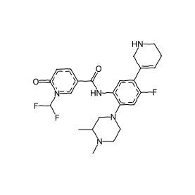 CC1CN(c2cc(F)c(C3=CCCNC3)cc2NC(=O)c2ccc(=O)n(C(F)F)c2)CCN1C